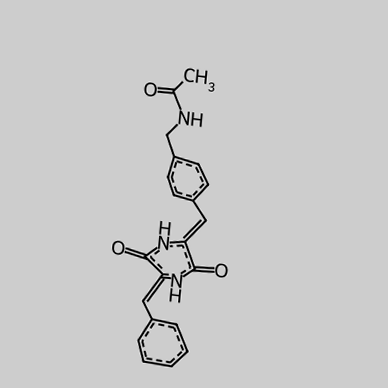 CC(=O)NCc1ccc(C=c2[nH]c(=O)c(=Cc3ccccc3)[nH]c2=O)cc1